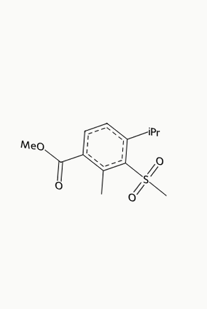 COC(=O)c1ccc(C(C)C)c(S(C)(=O)=O)c1C